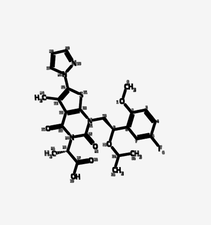 COc1ccc(F)cc1[C@H](Cn1c(=O)n([C@@H](C)C(=O)O)c(=O)c2c(C)c(-n3cccn3)sc21)OC(C)C